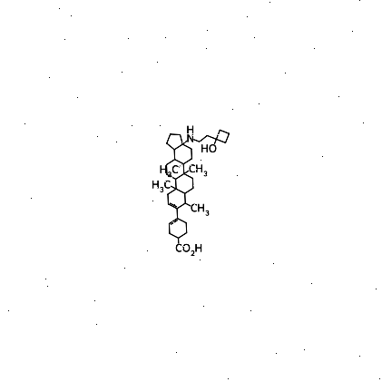 CC1C(C2=CCC(C(=O)O)CC2)=CCC2(C)C1CCC1(C)C2CCC2C3CCCC3(NCCC3(O)CCC3)CC[C@]21C